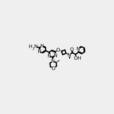 C[C@H]1COCCN1c1nc(O[C@H]2C[C@H](N(C)C(=O)C(O)c3ccccn3)C2)cc(-c2cnc(N)nc2)n1